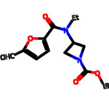 CCN(C(=O)c1ccc(C=O)o1)C1CN(C(=O)OC(C)(C)C)C1